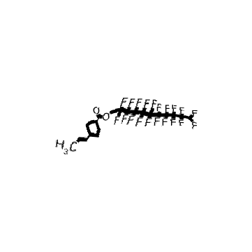 CCC[C@H]1CC[C@H](C(=O)OCC(F)(F)C(F)(F)C(F)(F)C(F)(F)C(F)(F)C(F)(F)C(F)(F)C(F)(F)C(F)(F)C(F)F)CC1